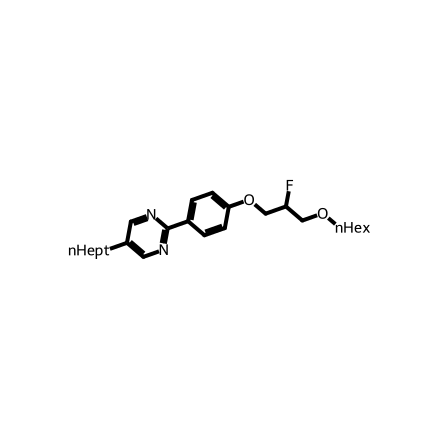 CCCCCCCc1cnc(-c2ccc(OCC(F)COCCCCCC)cc2)nc1